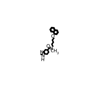 CN(CCCCCOc1cccc2ccccc12)C(=O)C1CCc2[nH]cnc2C1